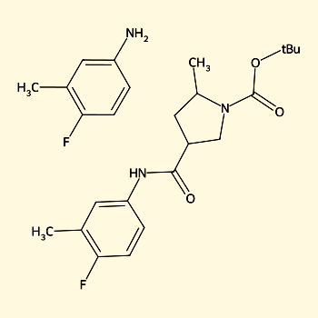 Cc1cc(N)ccc1F.Cc1cc(NC(=O)C2CC(C)N(C(=O)OC(C)(C)C)C2)ccc1F